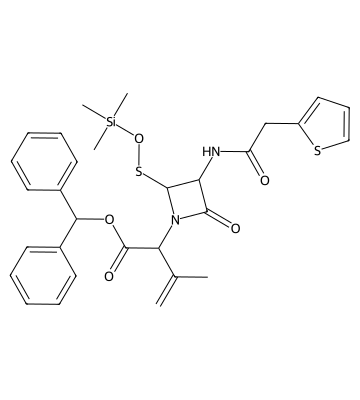 C=C(C)C(C(=O)OC(c1ccccc1)c1ccccc1)N1C(=O)C(NC(=O)Cc2cccs2)C1SO[Si](C)(C)C